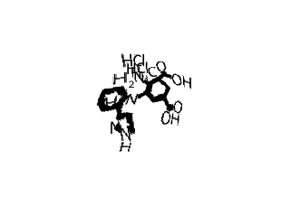 CC1(C(=O)O)CC(C(=O)O)=CC(N)=C1N.Cl.Cl.c1ccc(-c2cc[nH]n2)cc1